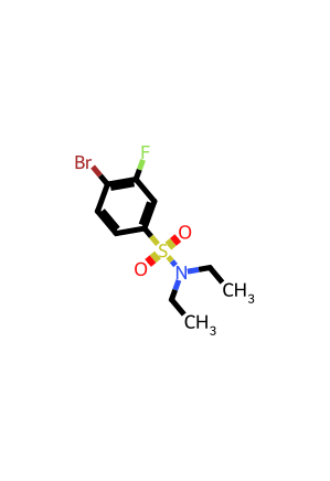 CCN(CC)S(=O)(=O)c1ccc(Br)c(F)c1